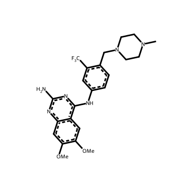 COc1cc2nc(N)nc(Nc3ccc(CN4CCN(C)CC4)c(C(F)(F)F)c3)c2cc1OC